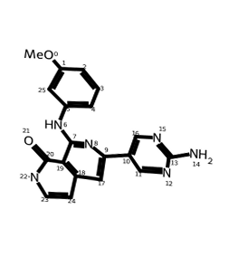 COc1cccc(Nc2nc(-c3cnc(N)nc3)cc3c2C(=O)[N]C=C3)c1